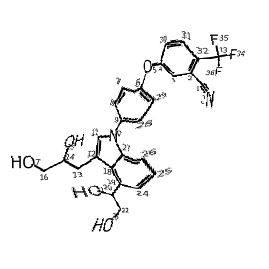 N#Cc1cc(Oc2ccc(-n3cc(CC(O)CO)c4c(C(O)CO)cccc43)cc2)ccc1C(F)(F)F